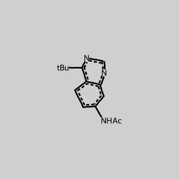 CC(=O)Nc1ccc2c(C(C)(C)C)ncnc2c1